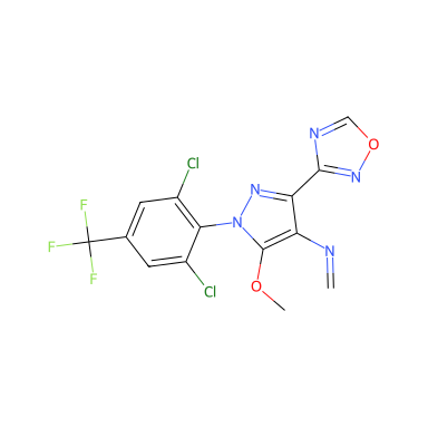 C=Nc1c(-c2ncon2)nn(-c2c(Cl)cc(C(F)(F)F)cc2Cl)c1OC